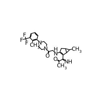 CC(=O)C(=N)C1=C(NCC(=O)N2CCN(c3cccc(C(F)(F)F)c3C)CC2)CC2C(C)C12